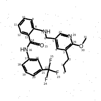 CCCc1cc(CNc2ccccc2C(=O)Nc2cccc(C(F)(F)F)c2)cnc1OC